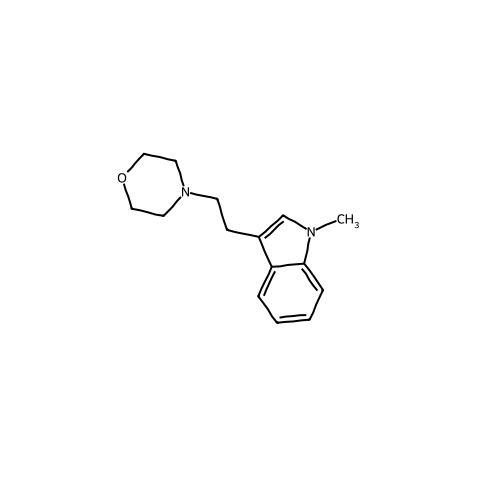 Cn1cc(CCN2CCOCC2)c2ccccc21